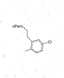 CCCCCCCc1cc(Cl)ccc1C